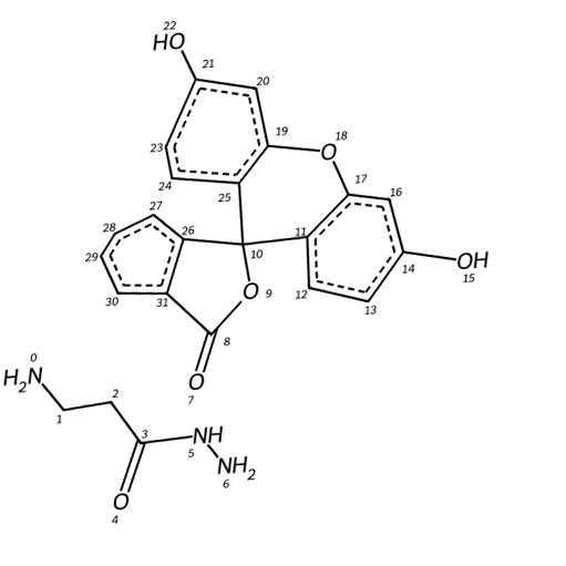 NCCC(=O)NN.O=C1OC2(c3ccc(O)cc3Oc3cc(O)ccc32)c2ccccc21